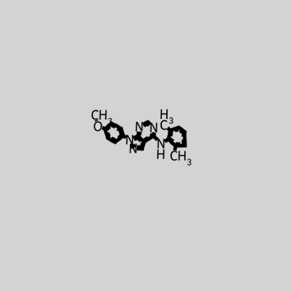 COc1ccc(-n2ncc3c(Nc4c(C)cccc4C)ncnc32)cc1